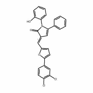 O=C1/C(=C/c2ccc(-c3ccc(Cl)c(Cl)c3)o2)C=C(c2ccccc2)N1c1ccccc1O